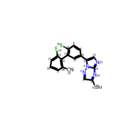 CC(C)(C)c1cnn2c(-c3ccc(F)c(-c4c(F)cccc4C#N)c3)cnc2n1